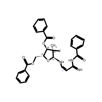 C[C@@]1(F)[C@H](OC(=O)c2ccccc2)[C@@H](COC(=O)c2ccccc2)O[C@@H]1N/C=C\C(=N)NC(=O)c1ccccc1